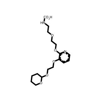 O=C(O)NCCOCCOc1ncccc1OCCOC1CCCCO1